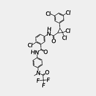 CN(C(=O)C(F)(F)F)c1ccc(NC(=O)c2cc(NC(=O)C3C(c4cc(Cl)cc(Cl)c4)C3(Cl)Cl)ccc2Cl)cc1